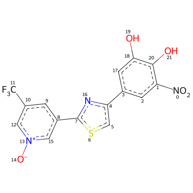 O=[N+]([O-])c1cc(-c2csc(-c3cc(C(F)(F)F)c[n+]([O-])c3)n2)cc(O)c1O